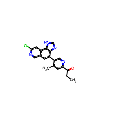 CCC(=O)c1cc(C)c(-c2cc3cnc(Cl)cc3c3[nH]cnc23)cn1